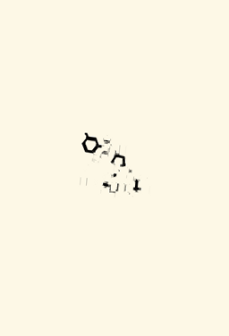 COc1ccc(Cl)cc1S(=O)(=O)N[C@@H]1C[C@H](COC(=O)C(C)(C)C)N(C(=O)OC(C)(C)C)C1